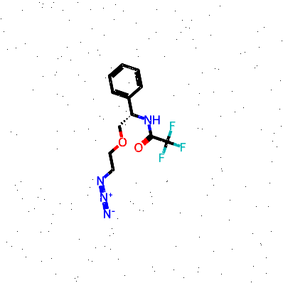 [N-]=[N+]=NCCOC[C@@H](NC(=O)C(F)(F)F)c1ccccc1